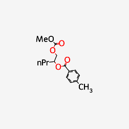 CCCC(COC(=O)OC)OC(=O)c1ccc(C)cc1